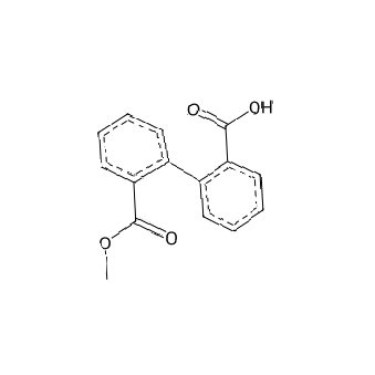 COC(=O)c1ccccc1-c1ccccc1C(=O)O